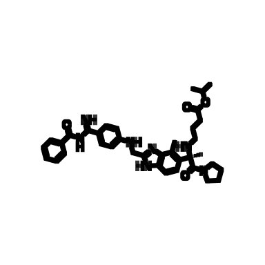 Cc1c([C@@](C)(NCCCC(=O)OC(C)C)C(=O)N2CCCC2)ccc2[nH]c(CNc3ccc(C(=N)NC(=O)c4ccccc4)cc3)nc12